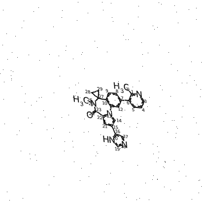 Cc1ncccc1-c1ccc2c(c1)-n1cc(-c3cnc[nH]3)cc1C(=O)N(C)C21CC1